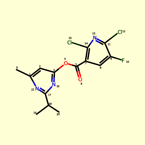 Cc1cc(OC(=O)c2cc(F)c(Cl)nc2Cl)nc(C(C)C)n1